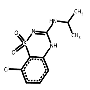 CC(C)NC1=NS(=O)(=O)c2c(Cl)cccc2N1